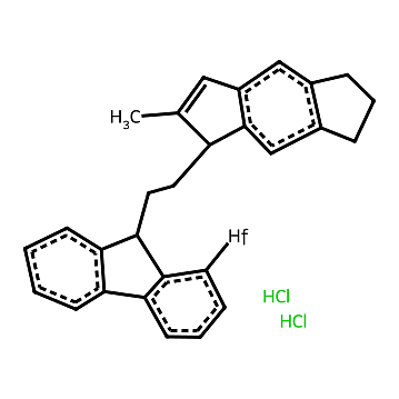 CC1=Cc2cc3c(cc2C1CCC1c2ccccc2-c2ccc[c]([Hf])c21)CCC3.Cl.Cl